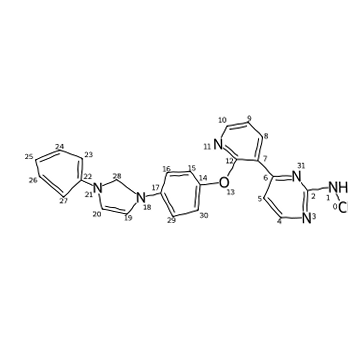 CNc1nccc(-c2cccnc2Oc2ccc(N3C=CN(c4ccccc4)C3)cc2)n1